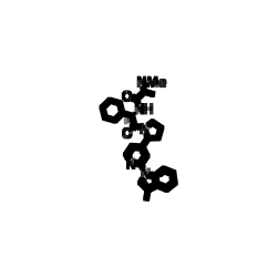 CNC(C)C(=O)N[C@H](C(=O)N1CCCC1c1ccnc(-n2cc(C)c3ccccc32)c1)C1CCCCC1